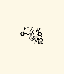 CCOc1ccc(C[C@@H](CO)NC(=O)[C@H]2O[C@@H]2C(=O)N[C@@H](CCCC(=O)O)C(=O)NCCc2ccccc2)cc1